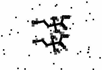 CC(C)CCC(C)(C)C(=O)C(=O)[O-].CC(C)CCC(C)(C)C(=O)C(=O)[O-].[Cu+2]